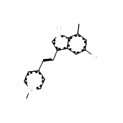 Cc1cc(Br)cc2c(/C=C/c3cc[n+](C)cc3)c[nH]c12